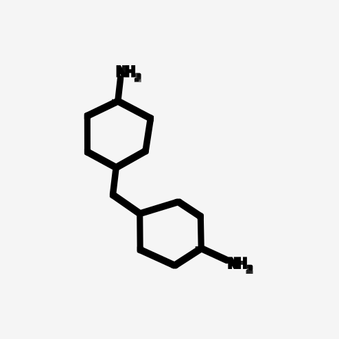 N[C]1CCC(CC2CC[C](N)CC2)CC1